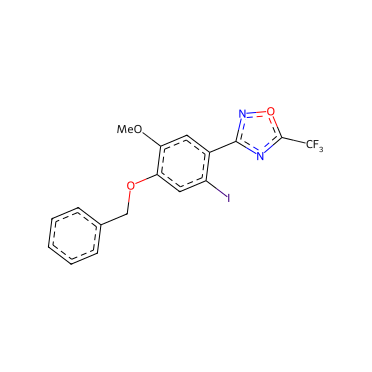 COc1cc(-c2noc(C(F)(F)F)n2)c(I)cc1OCc1ccccc1